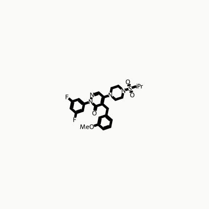 COc1cccc(Cc2c(N3CCN(S(=O)(=O)C(C)C)CC3)cnn(-c3cc(F)cc(F)c3)c2=O)c1